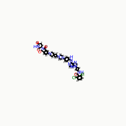 O=C1CC[C@H](N2C(=O)c3ccc(N4CCC5(CC4)CC(N4CCN(c6ccc(Nc7ncnc8c7ncn8C7CC(NC(=O)c8c(Cl)cccc8Cl)C7)cc6)CC4)C5)cc3C2=O)C(=O)N1